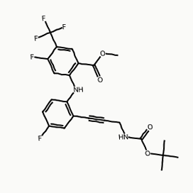 COC(=O)c1cc(C(F)(F)F)c(F)cc1Nc1ccc(F)cc1C#CCNC(=O)OC(C)(C)C